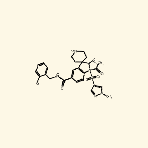 CC(=O)[N+]1(S(=O)(=O)c2cnn(C)c2)c2ccc(C(=O)NCc3ccccc3Cl)cc2C2(CCNCC2)C1C